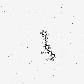 CCCO[C@H]1CCN(C[C@@H](NC)c2ccc(OCCOC3CCCCO3)cc2)C1